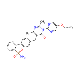 CCCCc1nc(C)n(-c2ncc(OCC(F)(F)F)cn2)c(=O)c1Cc1ccc(-c2ccccc2S(N)(=O)=O)cc1